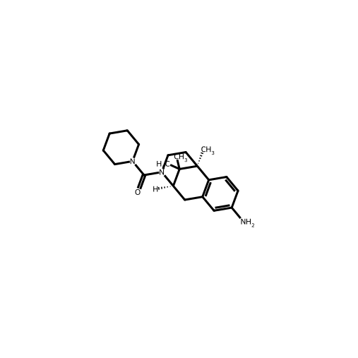 CC1(C)[C@H]2Cc3cc(N)ccc3[C@]1(C)CCN2C(=O)N1CCCCC1